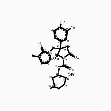 Cc1cccn(C[C@@]2(c3ccc(F)c(F)c3)NC(=O)N(C(=O)O[C@@H]3C[C@H](C)CC[C@H]3C(C)C)C2=O)c1=O